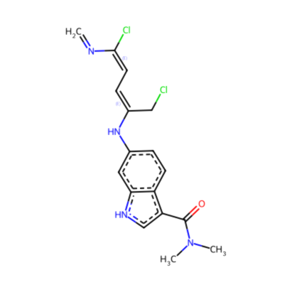 C=N/C(Cl)=C\C=C(/CCl)Nc1ccc2c(C(=O)N(C)C)c[nH]c2c1